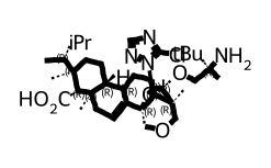 CC(C)[C@@H](C)[C@@]1(C)CC[C@]2(C)[C@H]3CC[C@@H]4[C@@]5(COC[C@]4(C)[C@@H](OC[C@](C)(N)C(C)(C)C)[C@H](n4ncnc4Cl)C5)C3=CC[C@@]2(C)[C@@H]1C(=O)O